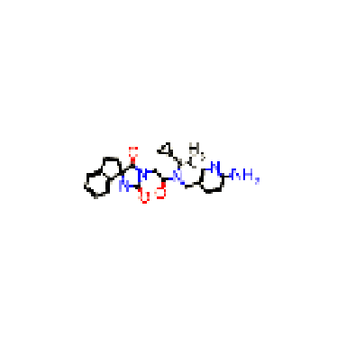 C[C@@H](C1CC1)N(Cc1ccc(N)nc1)C(=O)CN1C(=O)NC2(CCc3ccccc32)C1=O